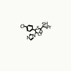 CC(C)C(S)C(=O)SC(c1ccc(Cl)cc1)C(Cl)n1ccnc1